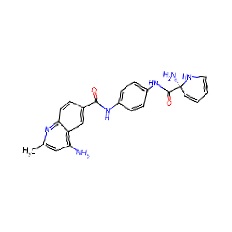 Cc1cc(N)c2cc(C(=O)Nc3ccc(NC(=O)[C@]4(N)C=CC=CN4)cc3)ccc2n1